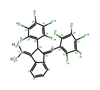 C[Si](C)=C1c2ccccc2C(=Bc2c(F)c(F)c(F)c(F)c2F)C1c1c(F)c(F)c(F)c(F)c1F